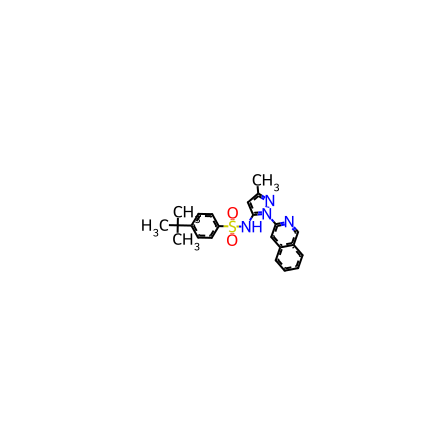 Cc1cc(NS(=O)(=O)c2ccc(C(C)(C)C)cc2)n(-c2cc3ccccc3cn2)n1